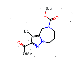 CCc1c(C(=O)OC)nn2c1CN(C(=O)OC(C)(C)C)CCC2